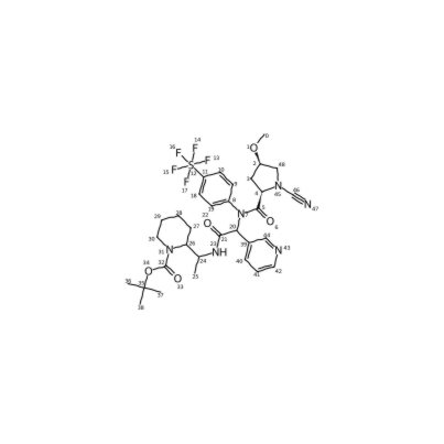 CO[C@@H]1C[C@H](C(=O)N(c2ccc(S(F)(F)(F)(F)F)cc2)C(C(=O)NC(C)C2CCCCN2C(=O)OC(C)(C)C)c2cccnc2)N(C#N)C1